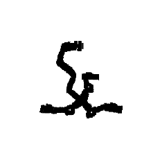 CCCCOC(CC[CH2][SnH])(OCCCC)OCCCC